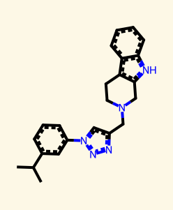 CC(C)c1cccc(-n2cc(CN3CCc4c([nH]c5ccccc45)C3)nn2)c1